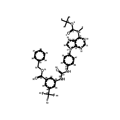 CN(C(=O)OC(C)(C)C)c1ncnc2c1ncn2-c1ccc(NC(=O)Nc2cc(C(=O)OCc3ccccc3)cc(C(F)(F)F)c2)cc1